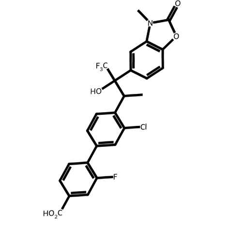 CC(c1ccc(-c2ccc(C(=O)O)cc2F)cc1Cl)C(O)(c1ccc2oc(=O)n(C)c2c1)C(F)(F)F